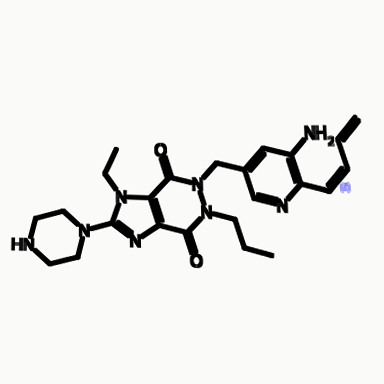 C=C/C=C\c1ncc(Cn2c(=O)c3c(nc(N4CCNCC4)n3CC)c(=O)n2CCC)cc1N